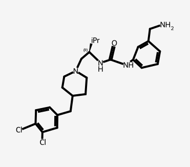 CC(C)[C@H](CN1CCC(Cc2ccc(Cl)c(Cl)c2)CC1)NC(=O)Nc1cccc(CN)c1